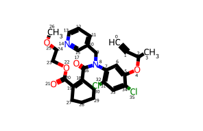 C#CC(C)Oc1cc(N(Cc2cccnc2)C(=O)C2=C(C(=O)OCCOC)CCCC2)c(Cl)cc1Cl